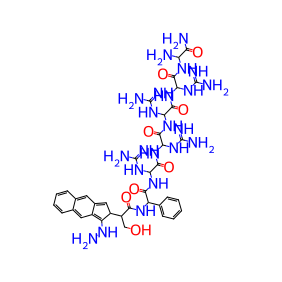 N=C(N)NC(NC(=O)C(NC(=N)N)NC(=O)C(NC(=N)N)NC(=O)C(NC(=N)N)NC(=O)C(NC(=O)C(CO)C1C=c2cc3ccccc3cc2=C1NN)c1ccccc1)C(=O)NC(N)C(N)=O